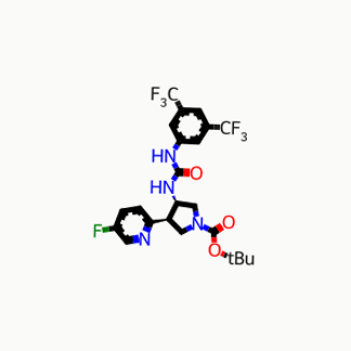 CC(C)(C)OC(=O)N1C[C@@H](NC(=O)Nc2cc(C(F)(F)F)cc(C(F)(F)F)c2)[C@H](c2ccc(F)cn2)C1